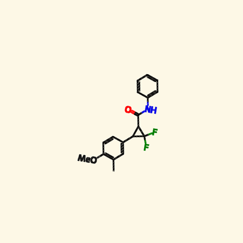 COc1ccc(C2C(C(=O)Nc3ccccc3)C2(F)F)cc1C